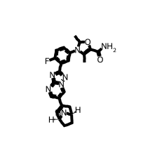 CC1=C(C(N)=O)OC(C)N1c1ccc(F)c(-c2nc3ncc(C4=C[C@@H]5CC[C@H](C4)N5)cn3n2)c1